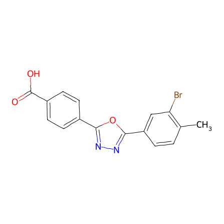 Cc1ccc(-c2nnc(-c3ccc(C(=O)O)cc3)o2)cc1Br